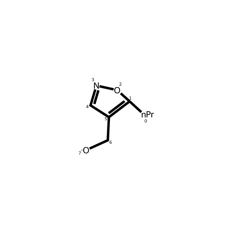 CCCc1oncc1C[O]